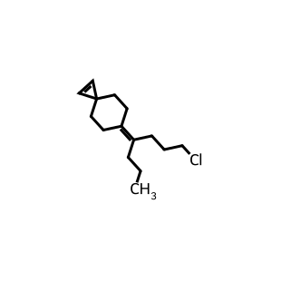 CCCC(CCCCl)=C1CCC2(C=C2)CC1